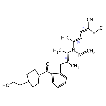 C=NN(/C(C)=C/C=C(/C#N)CCl)/C(C)=C(\C)Cc1ccccc1C(=O)N1CCC(CCO)CC1